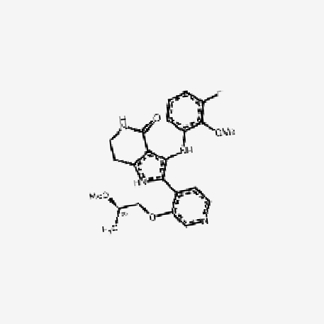 COc1c(F)cccc1Nc1c(-c2ccncc2OC[C@@H](C)OC)[nH]c2c1C(=O)NCC2